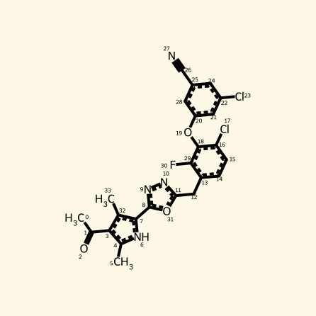 CC(=O)c1c(C)[nH]c(-c2nnc(Cc3ccc(Cl)c(Oc4cc(Cl)cc(C#N)c4)c3F)o2)c1C